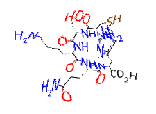 NCCCC[C@H](NC(=O)[C@H](CO)NC(=O)[C@@H](N)CS)C(=O)N[C@@H](CCC(N)=O)C(=O)N[C@@H](Cc1c[nH]cn1)C(=O)O